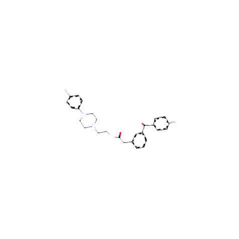 Cl.O=C(Cc1cccc(C(=O)c2ccc(Cl)cc2)c1)OCCN1CCN(c2ccc(Cl)cc2)CC1